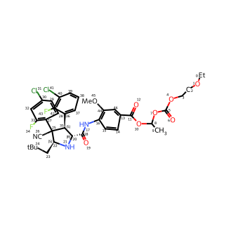 CCOCCOC(=O)OC(C)OC(=O)c1ccc(NC(=O)[C@@H]2N[C@@H](CC(C)(C)C)C(C#N)(c3ccc(Cl)cc3F)[C@H]2c2cccc(Cl)c2F)c(OC)c1